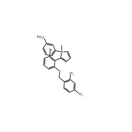 CCOC(=O)c1cccc([N+]2(C)C=CC=C2c2c(Br)cccc2OCc2ccc(C(F)(F)F)cc2C(F)(F)F)c1